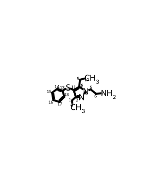 CCc1nn(CCN)c(CC)c1Sc1ccccc1